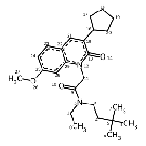 CCN(CCC(C)(C)C)C(=O)Cn1c(=O)c(C2CCCC2)cc2ccc(OC)cc21